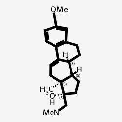 CNC[C@]1(O)CC[C@H]2[C@@H]3CCc4cc(OC)ccc4C3=CC[C@@]21C